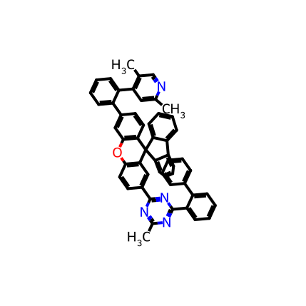 Cc1cc(-c2ccccc2-c2ccc3c(c2)Oc2ccc(-c4nc(C)nc(-c5ccccc5-c5ccccc5)n4)cc2C32c3ccccc3-c3ccccc32)c(C)cn1